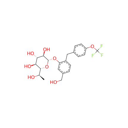 C[C@@H](O)[C@H]1O[C@@H](Oc2cc(CO)ccc2Cc2ccc(OC(F)(F)F)cc2)[C@H](O)[C@@H](O)[C@@H]1O